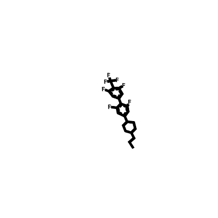 CCCC1CCC(c2cc(F)c(-c3cc(F)c(C(F)(F)F)c(F)c3)c(F)c2)CC1